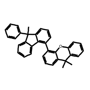 CC1(C)c2ccccc2Oc2c(-c3cccc4c3-c3ccccc3C4(C)c3ccccc3)cccc21